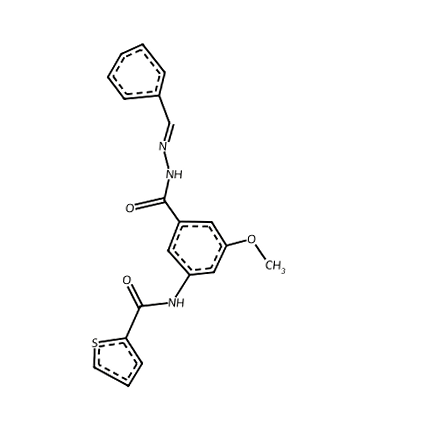 COc1cc(NC(=O)c2cccs2)cc(C(=O)N/N=C/c2ccccc2)c1